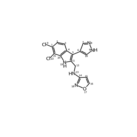 Clc1ccc2c(-c3cn[nH]c3)c(CNc3ccon3)[nH]c2c1Cl